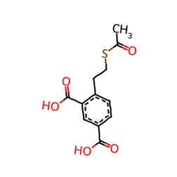 CC(=O)SCCc1ccc(C(=O)O)cc1C(=O)O